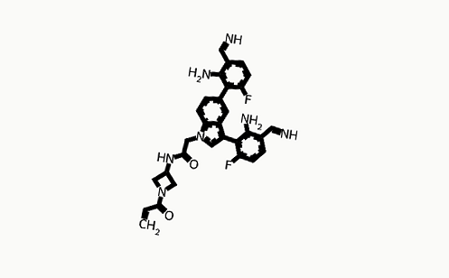 C=CC(=O)N1CC(NC(=O)Cn2cc(-c3c(F)ccc(C=N)c3N)c3cc(-c4c(F)ccc(C=N)c4N)ccc32)C1